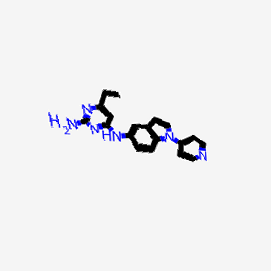 CCc1cc(Nc2ccc3c(ccn3-c3ccncc3)c2)nc(N)n1